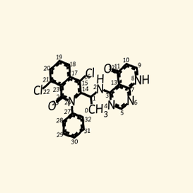 CC(Nc1ncnc2[nH]ccc(=O)c12)c1c(Cl)c2cccc(Cl)c2c(=O)n1-c1ccccc1